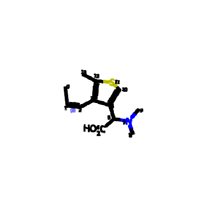 C/C=C\c1c(C(C(=O)O)N(C)C)csc1C